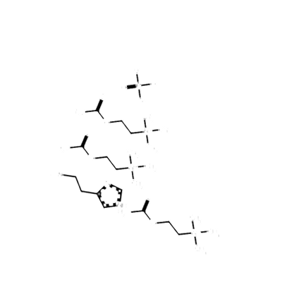 CC(=O)OCC[N+](C)(C)C.CC(=O)OCC[N+](C)(C)C.CC(=O)OCC[N+](C)(C)C.NCCc1c[nH]cn1.O=P([O-])([O-])[O-]